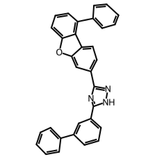 c1ccc(-c2cccc(-c3nc(-c4ccc5c(c4)oc4cccc(-c6ccccc6)c45)n[nH]3)c2)cc1